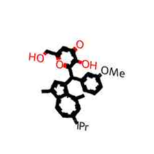 COc1cccc(C(c2cc(C)c3ccc(C(C)C)cc(C)c2-3)c2oc(CO)cc(=O)c2O)c1